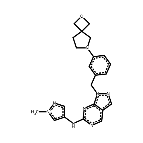 Cn1cc(Nc2ncc3cnn(Cc4cccc(N5CCC6(COC6)C5)c4)c3n2)cn1